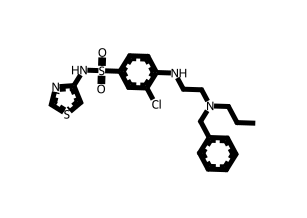 CCCN(CCNc1ccc(S(=O)(=O)Nc2cscn2)cc1Cl)Cc1ccccc1